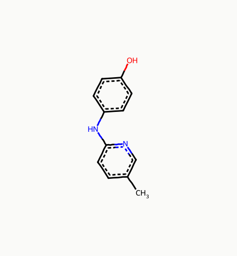 Cc1ccc(Nc2ccc(O)cc2)nc1